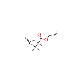 C=CCOC(=O)C(C)(C/C(C)=C\C)C(C)(C)C